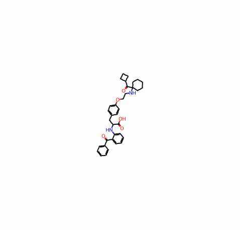 O=C(c1ccccc1)c1ccccc1NC(Cc1ccc(OCCNC2(C(=O)C3CCC3)CCCCC2)cc1)C(=O)O